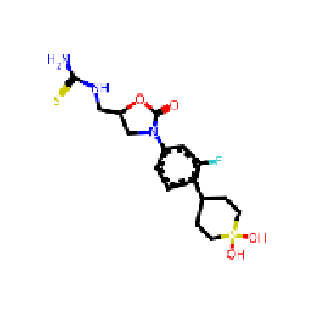 NC(=S)NCC1CN(c2ccc(C3CCS(O)(O)CC3)c(F)c2)C(=O)O1